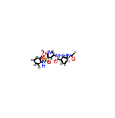 COc1ncc(NC(=O)c2cccc(NC(C)=O)c2)cc1S(=O)(=O)Nc1c(C)cccc1C